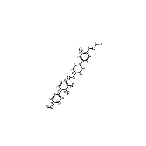 CCOCc1ccc(C2CCC(COc3ccc(-c4ccc(OC)cc4)c(F)c3F)CC2)cc1F